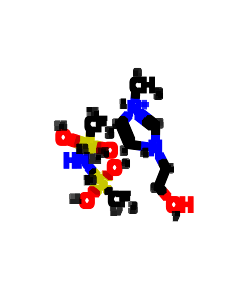 C[n+]1ccn(CCO)c1.O=S(=O)(NS(=O)(=O)C(F)(F)F)C(F)(F)F